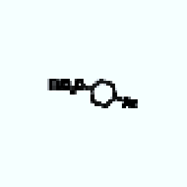 CCOC(=O)C1CCC(C(C)=O)CC1